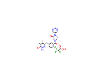 Cc1c(Cc2ccc(F)c(C(=O)N3CCN(c4cncnc4)C(=O)C3)c2)n[nH]c(=O)c1C.O=C(O)C(F)(F)F